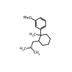 COc1cccc(C2(C)CCCCC2CN(C)C)c1